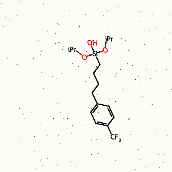 CC(C)O[Si](O)(CCCCc1ccc(C(F)(F)F)cc1)OC(C)C